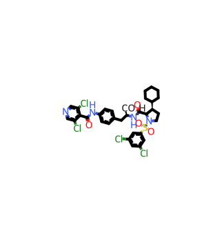 O=C(Nc1ccc(C[C@H](NC(=O)C2[C@@H](C3CCCCC3)CCN2S(=O)(=O)c2cc(Cl)cc(Cl)c2)C(=O)O)cc1)c1c(Cl)cncc1Cl